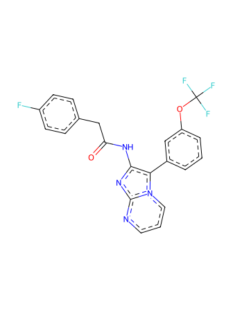 O=C(Cc1ccc(F)cc1)Nc1nc2ncccn2c1-c1cccc(OC(F)(F)F)c1